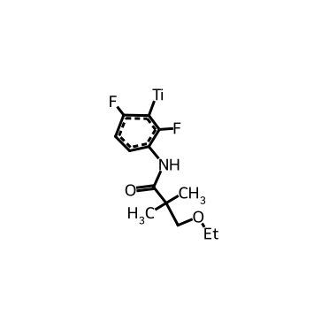 CCOCC(C)(C)C(=O)Nc1ccc(F)[c]([Ti])c1F